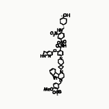 COc1ccc(CN2CCN(C3CC4(CCN(c5ccc(C(=O)NS(=O)(=O)c6ccc(NC[C@H]7CC[C@](C)(O)CC7)c([N+](=O)[O-])c6)c(Oc6cnc7[nH]ccc7c6)c5)CC4)C3)C(c3ccccc3C(C)C)C2)cc1S(C)(=O)=O